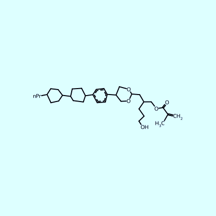 C=C(C)C(=O)OCC(CCCO)CC1OCC(c2ccc(C3CCC(C4CCC(CCC)CC4)CC3)cc2)CO1